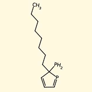 CCCCCCCCC1(P)C=CC=P1